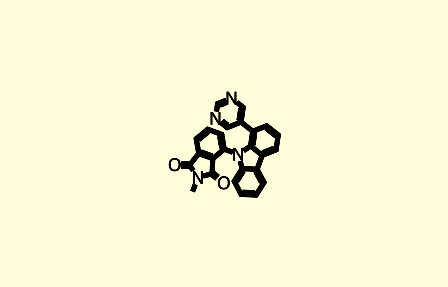 CN1C(=O)c2cccc(-n3c4ccccc4c4cccc(-c5cncnc5)c43)c2C1=O